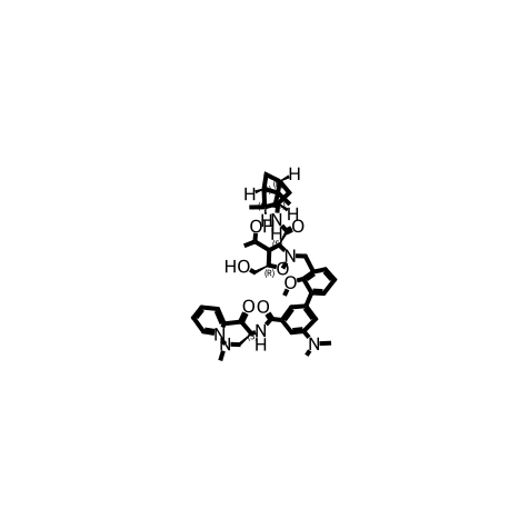 COc1c(CN2O[C@@H](CO)C(C(C)O)[C@H]2C(=O)N[C@H]2C[C@H]3C[C@@H]([C@@H]2C)C3(C)C)cccc1-c1cc(C(=O)N[C@@H](CN(C)C)C(=O)c2ccccn2)cc(N(C)C)c1